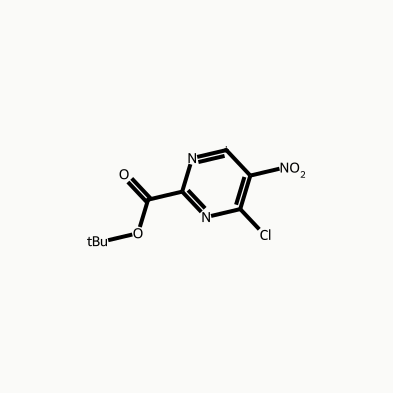 CC(C)(C)OC(=O)c1n[c]c([N+](=O)[O-])c(Cl)n1